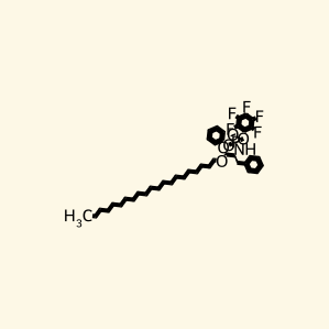 CCCCCCCCCCCCCCCCCCCCCOC(=O)[C@H](Cc1ccccc1)NP(=O)(Oc1ccccc1)Oc1c(F)c(F)c(F)c(F)c1F